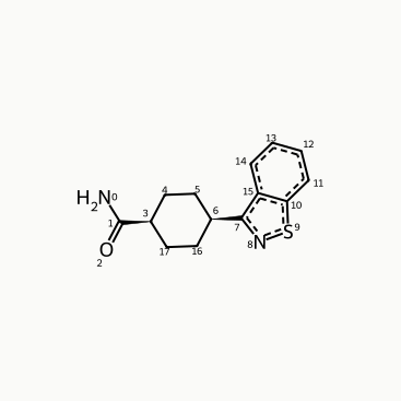 NC(=O)[C@H]1CC[C@@H](c2nsc3ccccc32)CC1